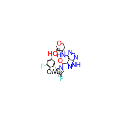 COc1c(F)cc(F)cc1[C@H]1C[C@H](F)CN1C(=O)c1n[nH]c2ncnc(N[C@@H]3CCOC[C@H]3O)c12